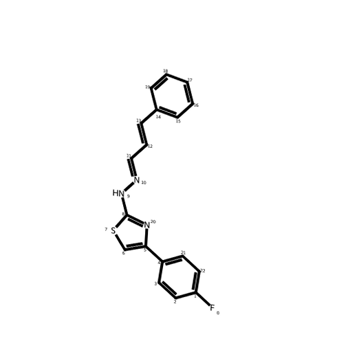 Fc1ccc(-c2csc(NN=CC=Cc3ccccc3)n2)cc1